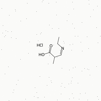 CC/N=C\C(C)C(=O)O.Cl